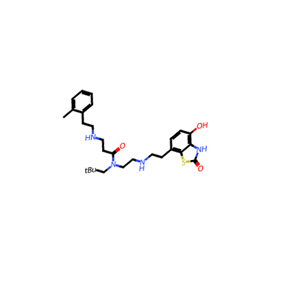 Cc1ccccc1CCNCCC(=O)N(CCNCCc1ccc(O)c2[nH]c(=O)sc12)CC(C)(C)C